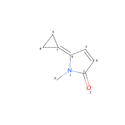 CN1C(=O)C=CC1=C1CC1